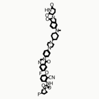 CN(c1ccc2c(c1)CN([C@H]1CCC(=O)NC1=O)C2=O)C1CCC(N2CCN(c3ccc(-n4cnc5ccc(Oc6c(F)ccc(NS(=O)(=O)N7CC[C@@H](F)C7)c6C#N)cc5c4=O)cc3)CC2)CC1